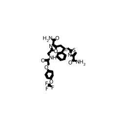 NC(=O)c1csc(C[C@@H](Cc2oc(CNC(=O)COc3ccc(OC(F)(F)F)cc3)nc2C(N)=O)c2ccccc2)n1